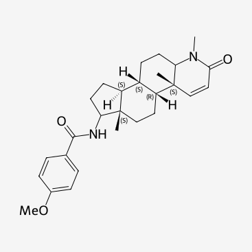 COc1ccc(C(=O)NC2CC[C@H]3[C@@H]4CCC5N(C)C(=O)C=C[C@]5(C)[C@@H]4CC[C@]23C)cc1